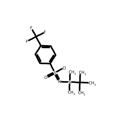 CC(C)(C)[Si](C)(C)N=S(=O)(Cl)c1ccc(C(F)(F)F)cc1